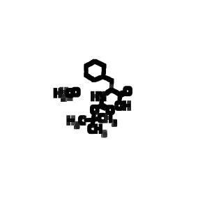 CC(C)(C)OC(=O)N[C@@H](CC1CCCCC1)C(=O)O.O.O